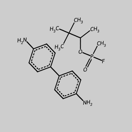 CC(OP(C)(=O)F)C(C)(C)C.Nc1ccc(-c2ccc(N)cc2)cc1